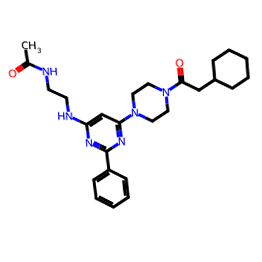 CC(=O)NCCNc1cc(N2CCN(C(=O)CC3CCCCC3)CC2)nc(-c2ccccc2)n1